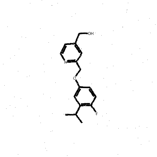 CC(C)c1cc(OCc2cc(CO)ccn2)ccc1F